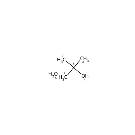 CC(C)(C)O.O